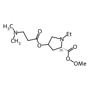 CCN1CC(OC(=O)CCN(C)C)C[C@H]1C(=O)OOC